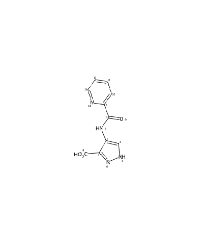 O=C(Nc1c[nH]nc1C(=O)O)c1ccccn1